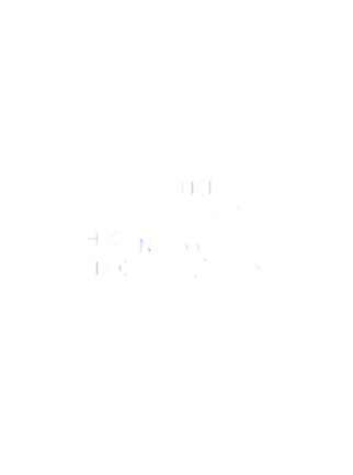 CCN(CC)CCOC(=O)C(c1ccccc1)c1ccccc1.Cl